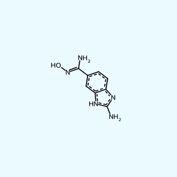 NC(=NO)c1ccc2nc(N)[nH]c2c1